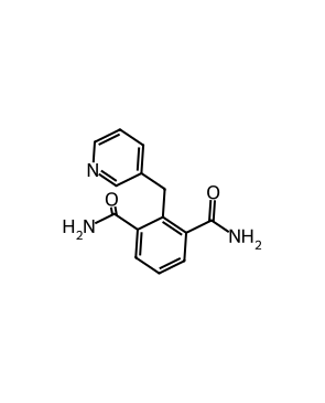 NC(=O)c1cccc(C(N)=O)c1Cc1cccnc1